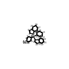 C1=CC([Si](c2ccccc2)(c2ccccc2)C2C=Cc3ccccc32)c2ccccc21.[Na]